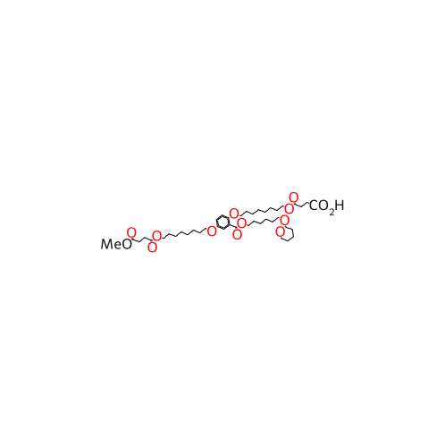 COC(=O)CCC(=O)OCCCCCCCCOc1ccc(OCCCCCCCCOC(=O)CCC(=O)O)c(C(=O)OCCCCCCOC2CCCCO2)c1